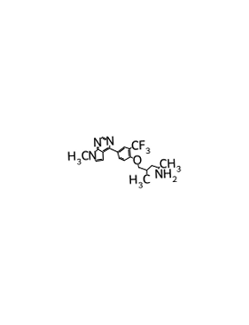 CC(N)CC(C)COc1ccc(-c2ncnc3c2ccn3C)cc1C(F)(F)F